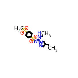 CCN/C(=N\S(=O)(=O)c1ccc(S(C)(=O)=O)cc1)N1CC(CC)C=N1